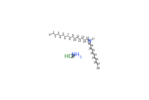 CCCCCCCCCCCCCCCCN(C)CCCCCCCCCCC.Cl.N